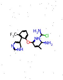 CC1=CC(Oc2cccc(C(F)(F)F)c2C2=CN=CNC2)=NN(C(N)Cl)C1N